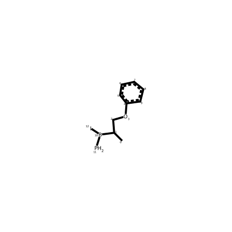 CC(COc1ccccc1)B(P)I